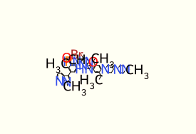 CCc1cc(Nc2ncc(Br)c(Nc3ccc(-c4cn(C)c5ncccc45)cc3P(C)(C)=O)n2)c(OC)cc1N1CCC(N2CCN(C)CC2)CC1